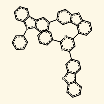 c1ccc(-c2nc(-c3ccc4c(c3)oc3ccccc34)cc(-c3cccc4sc5ccc(-c6ccc7c(c6)c6ccccc6n7-c6ccccc6)cc5c34)n2)cc1